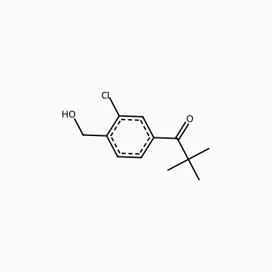 CC(C)(C)C(=O)c1ccc(CO)c(Cl)c1